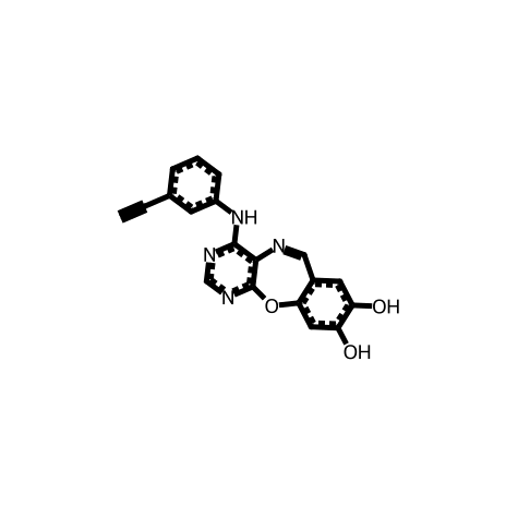 C#Cc1cccc(Nc2ncnc3c2N=Cc2cc(O)c(O)cc2O3)c1